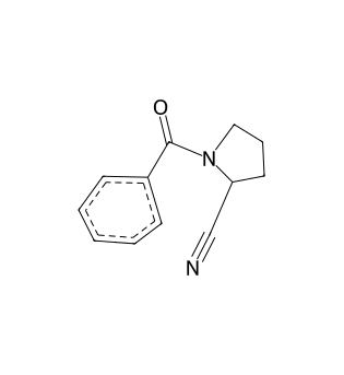 N#CC1CCCN1C(=O)c1ccccc1